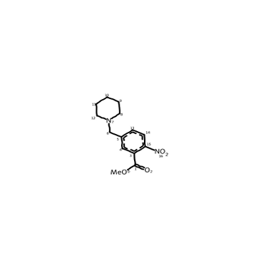 COC(=O)c1cc(CN2CCCCC2)ccc1[N+](=O)[O-]